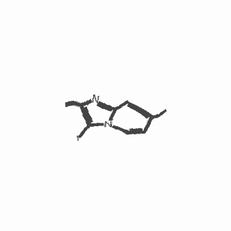 Cc1ccn2c(I)c(C)nc2c1